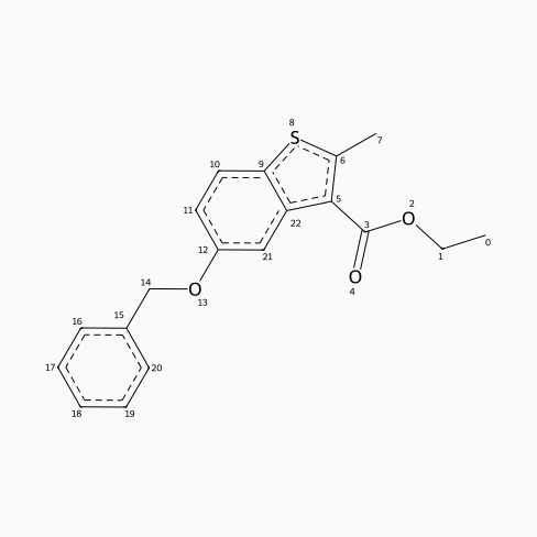 CCOC(=O)c1c(C)sc2ccc(OCc3ccccc3)cc12